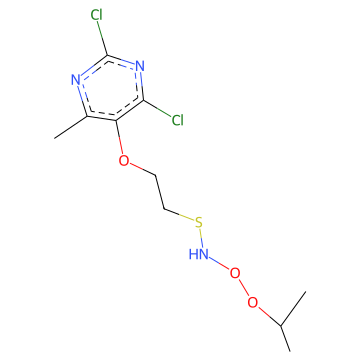 Cc1nc(Cl)nc(Cl)c1OCCSNOOC(C)C